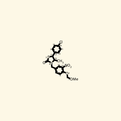 COCOc1ccc(CN2C(=O)SC(c3ccc(Cl)cc3)C2C)cc1[N+](=O)[O-]